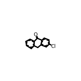 O=C1c2ccccc2Cc2cc(Cl)ccc21